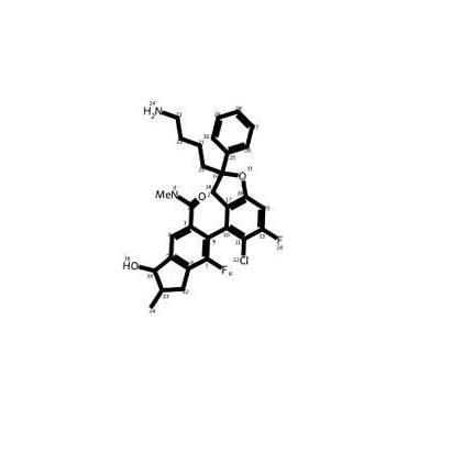 CNC(=O)c1cc2c(c(F)c1-c1c(Cl)c(F)cc3c1CC(CCCCN)(c1ccccc1)O3)CC(C)C2O